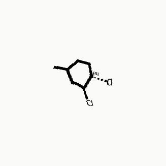 CC1CC[C@H](Cl)C(Cl)C1